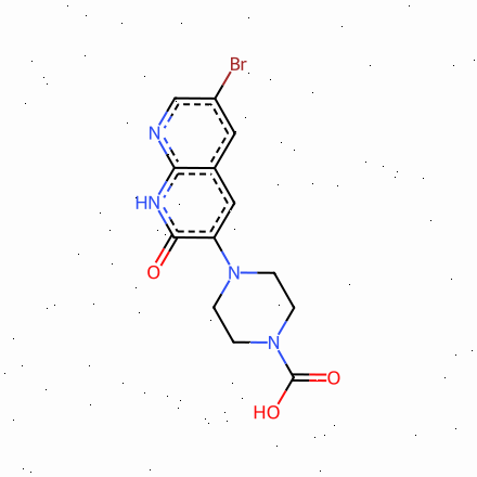 O=C(O)N1CCN(c2cc3cc(Br)cnc3[nH]c2=O)CC1